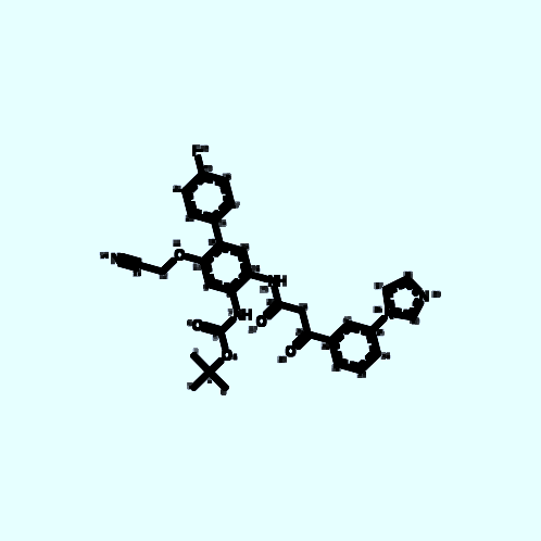 CC(C)(C)OC(=O)Nc1cc(OCC#N)c(-c2ccc(F)cc2)cc1NC(=O)CC(=O)c1cccc(-n2ccnc2)c1